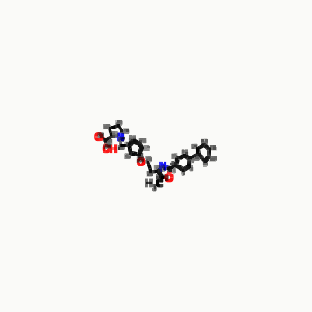 Cc1oc(-c2ccc(-c3ccccc3)cc2)nc1CCOc1cccc(CN2CCCC2C(=O)O)c1